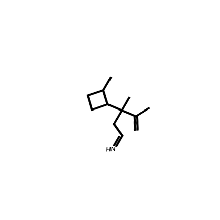 C=C(C)C(C)(CC=N)C1CCC1C